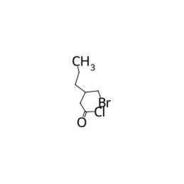 CCCC(CBr)CC(=O)Cl